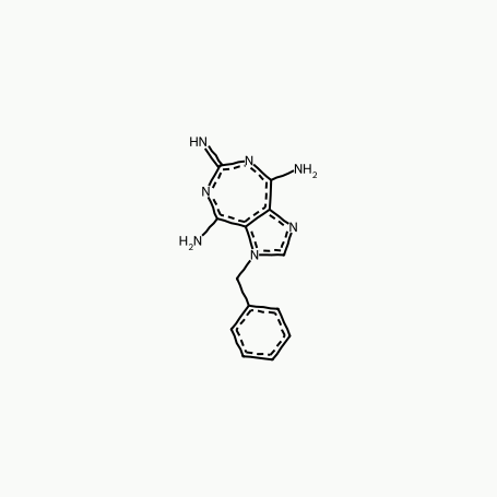 N=c1nc(N)c2ncn(Cc3ccccc3)c2c(N)n1